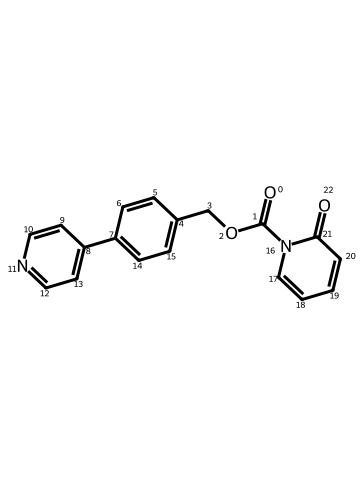 O=C(OCc1ccc(-c2ccncc2)cc1)n1ccccc1=O